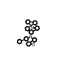 c1ccc(-c2ccc(N(c3ccc4c(c3)c3ccccc3n4C3(c4ccccc4)c4ccccc4-c4ccccc43)c3cccc4oc5ccccc5c34)cc2)cc1